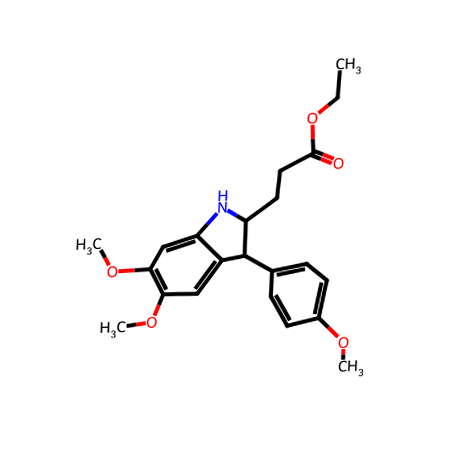 CCOC(=O)CCC1Nc2cc(OC)c(OC)cc2C1c1ccc(OC)cc1